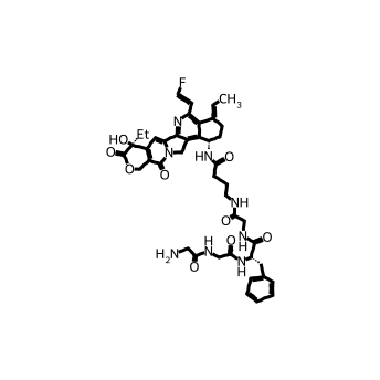 C/C=C1\CC[C@H](NC(=O)CCCNC(=O)CNC(=O)[C@H](Cc2ccccc2)NC(=O)CNC(=O)CN)c2c3c(nc(/C=C/F)c21)-c1cc2c(c(=O)n1C3)COC(=O)[C@]2(O)CC